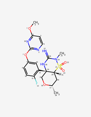 COc1ccnc(Oc2ccc(F)c([C@]34CO[C@@H](C)C[C@H]3S(=O)(=O)N(C)C(=N)N4)c2)n1